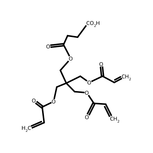 C=CC(=O)OCC(COC(=O)C=C)(COC(=O)C=C)COC(=O)CCC(=O)O